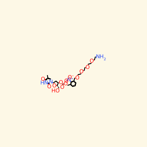 Cc1cn([C@H]2C[C@@H](OC(=O)OCc3cccc(COCCOCCOCCOCCN)c3[N+](=O)[O-])[C@@H](CO)O2)c(=O)[nH]c1=O